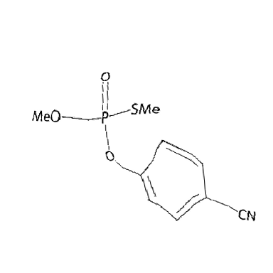 COP(=O)(Oc1ccc(C#N)cc1)SC